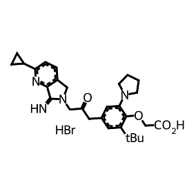 Br.CC(C)(C)c1cc(CC(=O)CN2Cc3ccc(C4CC4)nc3C2=N)cc(N2CCCC2)c1OCC(=O)O